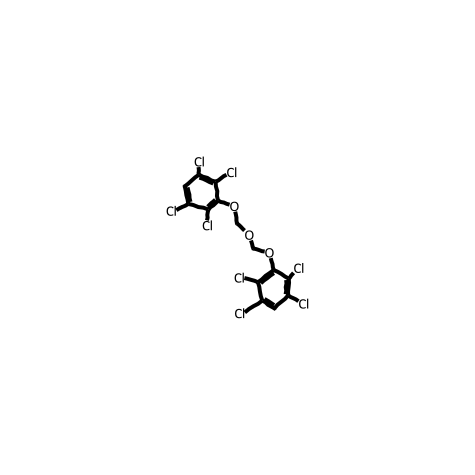 Clc1cc(Cl)c(Cl)c(OCOCOc2c(Cl)c(Cl)cc(Cl)c2Cl)c1Cl